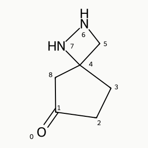 O=C1CCC2(CNN2)C1